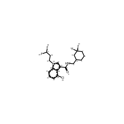 O=C(NCC1CCCC(F)(F)C1)c1cn(CCC(F)F)c2cccc(Cl)c12